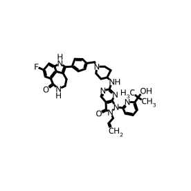 C=CCn1c(=O)c2cnc(NC3CCN(Cc4ccc(-c5[nH]c6cc(F)cc7c6c5CCNC7=O)cc4)CC3)nc2n1-c1cccc(C(C)(C)O)n1